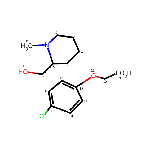 CN1CCCCC1CO.O=C(O)COc1ccc(Cl)cc1